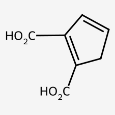 O=C(O)C1=C(C(=O)O)CC=C1